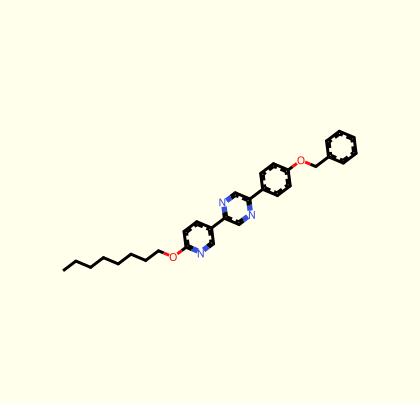 CCCCCCCCOc1ccc(-c2cnc(-c3ccc(OCc4ccccc4)cc3)cn2)cn1